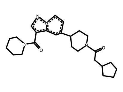 O=C(CC1CCCC1)N1CCC(c2ccn3ncc(C(=O)N4CCCCC4)c3c2)CC1